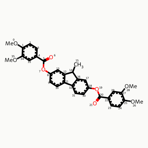 COc1ccc(C(=O)Oc2ccc3c(c2)C(C)c2cc(OC(=O)c4ccc(OC)c(OC)c4)ccc2-3)cc1OC